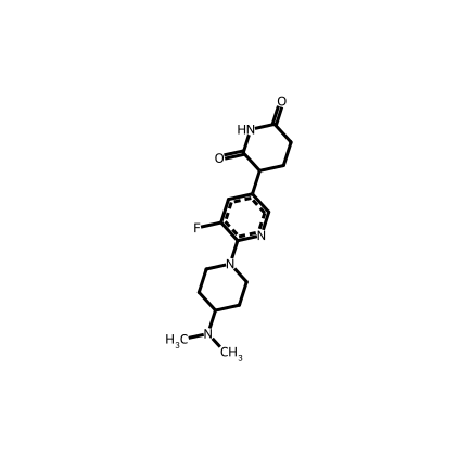 CN(C)C1CCN(c2ncc(C3CCC(=O)NC3=O)cc2F)CC1